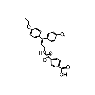 CCOc1ccc(C(=CCNS(=O)(=O)c2ccc(C(=O)O)cc2)c2ccc(OC)cc2)cc1